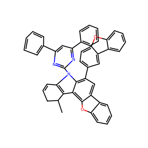 CC1CC=Cc2c1c1c3oc4ccccc4c3cc(-c3ccc4oc5ccccc5c4c3)c1n2-c1nc(-c2ccccc2)cc(-c2ccccc2)n1